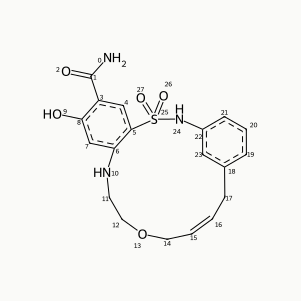 NC(=O)c1cc2c(cc1O)NCCOC/C=C\Cc1cccc(c1)NS2(=O)=O